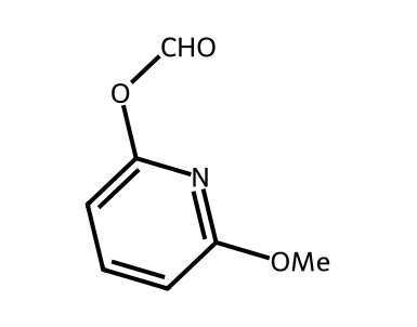 COc1cccc(OC=O)n1